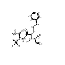 CNC(=O)[C@@H](NC(=O)[C@@H](CCCc1ccccc1)[C@@H](C)N(O)C=O)C(C)(C)C